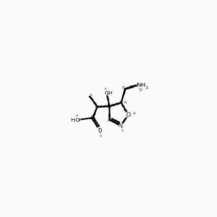 CC(C(=O)O)C1(O)C=NOC1CN